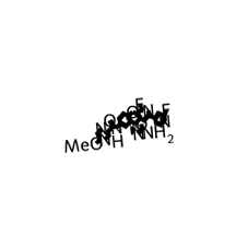 COc1cnc(C(=O)Nc2ccc3c(c2)[C@@]2(CCN=C(N)O2)c2cc(-c4ccnc(F)c4)nc(F)c2O3)cn1